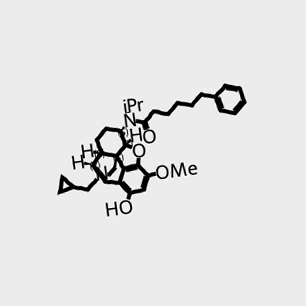 COc1cc(O)c2c3c1O[C@H]1[C@@H](N(C(=O)CCCCCc4ccccc4)C(C)C)CC[C@H]4[C@@H](C2)N(CC2CC2)CC[C@@]341